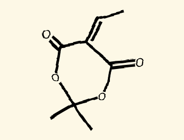 CC=C1C(=O)OC(C)(C)OC1=O